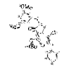 COc1cc(C[C@H]2C[C@H](C(=O)OCc3ccccc3)N(C(=O)OC(C)(C)C)C2=O)cc(OC)c1